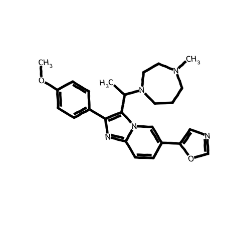 COc1ccc(-c2nc3ccc(-c4cnco4)cn3c2C(C)N2CCCN(C)CC2)cc1